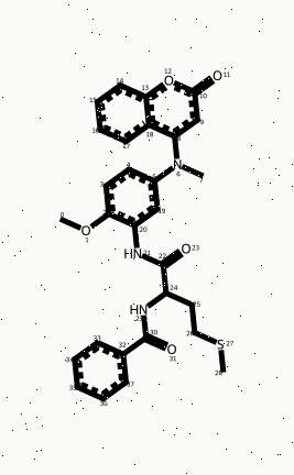 COc1ccc(N(C)c2cc(=O)oc3ccccc23)cc1NC(=O)C(CCSC)NC(=O)c1ccccc1